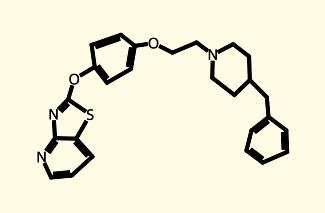 c1ccc(CC2CCN(CCOc3ccc(Oc4nc5ncccc5s4)cc3)CC2)cc1